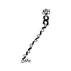 COCCOCCOCCOCCOCCOCCOCCN1CCC2(CC1)CCN(C(=O)OC(C)(C)C)CC2